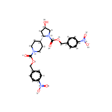 O=C(OCc1ccc([N+](=O)[O-])cc1)N1CCC([C@@H]2C[C@@H](O)CN2C(=O)OCc2ccc([N+](=O)[O-])cc2)CC1